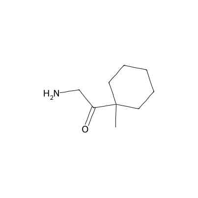 CC1(C(=O)CN)CCCCC1